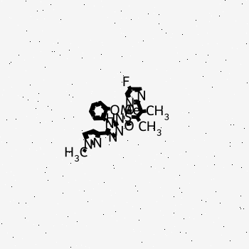 COc1ccccc1-n1c(NS(=O)(=O)C(C)C(C)c2ncc(F)cn2)nnc1-c1ccn(C)n1